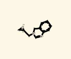 C1=Nc2ccccc2CN1CC1CO1